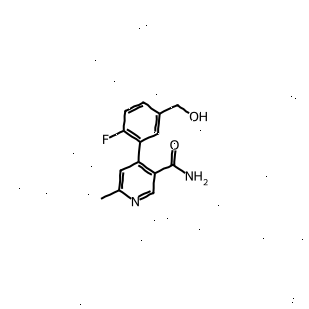 Cc1cc(-c2cc(CO)ccc2F)c(C(N)=O)cn1